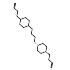 C=CCCC1CCC(CCCC[C@H]2CC[C@H](CCC=C)CC2)CC1